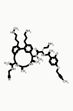 C=C1CNC(=C)C(N(C)C(=O)[C@H](CCN)NC(=C)c2ccc(OCC#CC)cc2Cl)c2ccc(CCCN)c(c2)-c2cc(ccc2CCCNC)CC(C(=C)NCC#N)N1